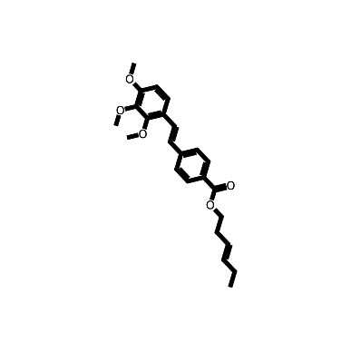 CCC=CCCOC(=O)c1ccc(C=Cc2ccc(OC)c(OC)c2OC)cc1